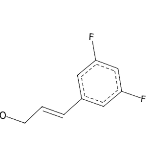 [O]C/C=C/c1cc(F)cc(F)c1